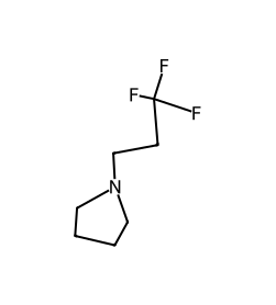 FC(F)(F)CCN1CCCC1